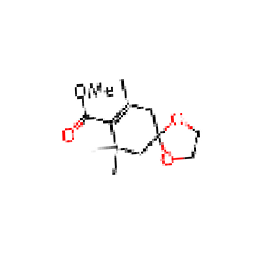 COC(=O)C1=C(C)CC2(CC1(C)C)OCCO2